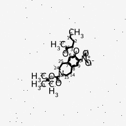 CCCC(Oc1cc2c(cc1[N+](=O)[O-])CCN(C(=O)OC(C)(C)C)CC2)C(C)=O